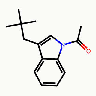 CC(=O)n1cc(CC(C)(C)C)c2ccccc21